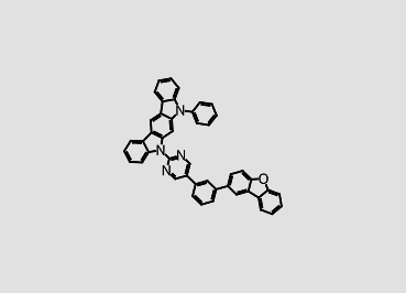 c1ccc(-n2c3ccccc3c3cc4c5ccccc5n(-c5ncc(-c6cccc(-c7ccc8oc9ccccc9c8c7)c6)cn5)c4cc32)cc1